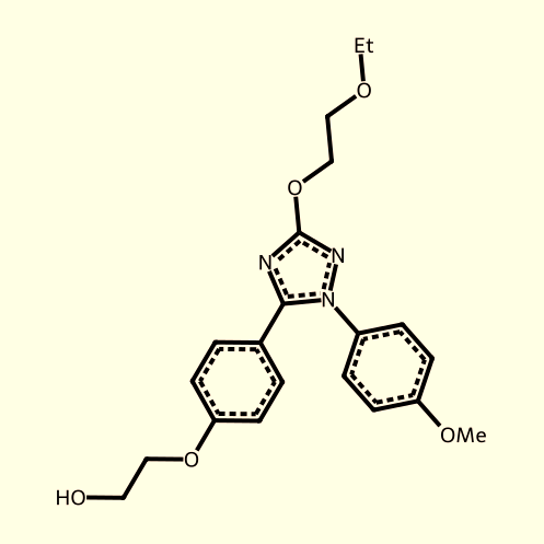 CCOCCOc1nc(-c2ccc(OCCO)cc2)n(-c2ccc(OC)cc2)n1